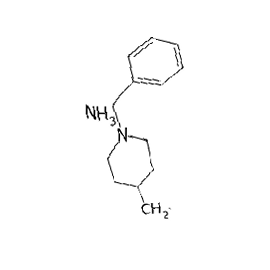 N.[CH2]C1CCN(Cc2ccccc2)CC1